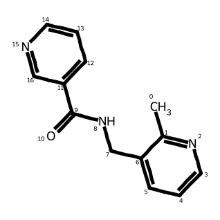 Cc1ncccc1CNC(=O)c1cccnc1